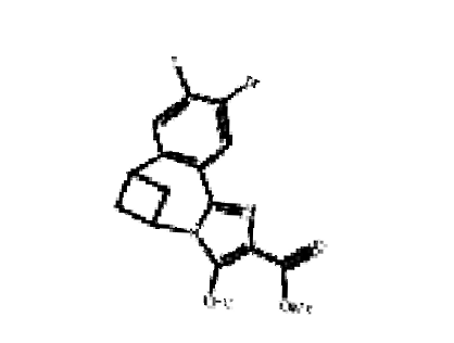 COC(=O)c1nc2n(c1C=O)C1CC(C1)c1cc(F)c(Br)cc1-2